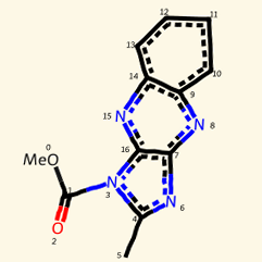 COC(=O)n1c(C)nc2nc3ccccc3nc21